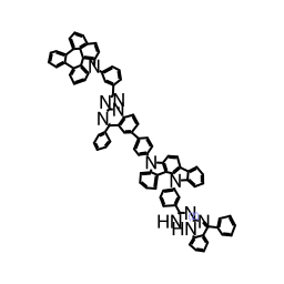 N=C(/N=c1/nc(-c2ccccc2)c2ccccc2[nH]1)c1cccc(-n2c3ccccc3c3ccc4c(c5ccccc5n4-c4ccc(-c5ccc6c(c5)c(-c5ccccc5)nc5nc(-c7cccc(-n8c9cccc%10c9c9c%11c(cccc%11ccc98)-c8ccccc8-%10)c7)nn56)cc4)c32)c1